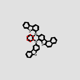 c1ccc(N(c2ccc3c(sc4ccc5ccccc5c43)c2N(c2ccccc2)c2ccc3sc4ccccc4c3c2)c2cccc3c2sc2ccccc23)cc1